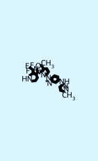 CC(=O)c1ccc(-n2cnc3cc(Nc4ccc(C)nn4)ccc32)nc1-n1nc(C(F)(F)F)c2c1CCCNC2